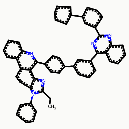 CCc1nc2c3c(-c4ccc(-c5cccc(-c6nc(-c7cccc(-c8ccccc8)c7)nc7ccccc67)c5)cc4)nc4ccccc4c3ccc2n1-c1ccccc1